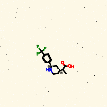 CC(C(=O)O)[C@H]1CCN[C@@H](c2ccc(C(F)(F)F)cc2)C1